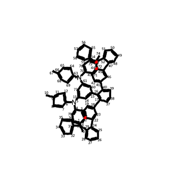 Cc1ccc(N(c2ccc(C)cc2)c2cc(-c3c(-c4ccc5c(c4)c4ccccc4n5-c4ccccc4)cccc3-c3ccc4c(c3)c3ccccc3n4-c3ccccc3)cc(N(c3ccc(C)cc3)c3ccc(C)cc3)c2)cc1